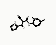 N#CC(C(=O)Nc1ccc(F)cc1F)C(=O)c1ccc[nH]1